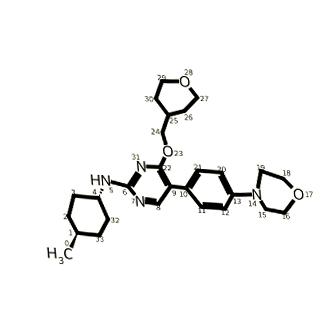 C[C@H]1CC[C@H](Nc2ncc(-c3ccc(N4CCOCC4)cc3)c(OCC3CCOCC3)n2)CC1